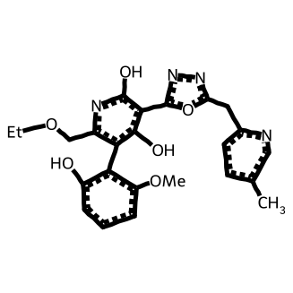 CCOCc1nc(O)c(-c2nnc(Cc3ccc(C)cn3)o2)c(O)c1-c1c(O)cccc1OC